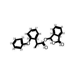 CC(C(=O)OC1OC(=O)c2ccccc21)c1ccccc1Oc1ccccc1